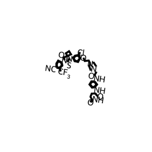 N#Cc1ccc(N2C(=O)C3(CCC3)N(c3ccc(OCCN4CCN(CC(=O)Nc5cccc(NC6CCC(=O)NC6=O)c5)CC4)c(Cl)c3)C2=S)cc1C(F)(F)F